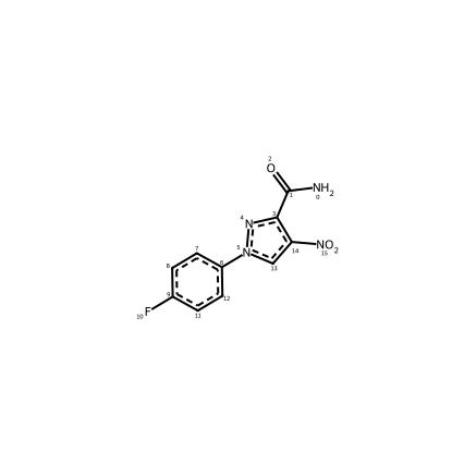 NC(=O)c1nn(-c2ccc(F)cc2)cc1[N+](=O)[O-]